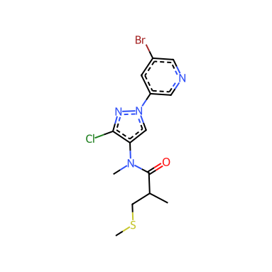 CSCC(C)C(=O)N(C)c1cn(-c2cncc(Br)c2)nc1Cl